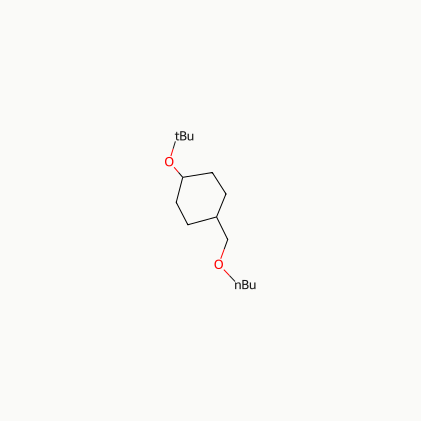 CCCCOCC1CCC(OC(C)(C)C)CC1